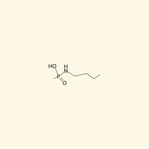 CCCCNP(C)(=O)O